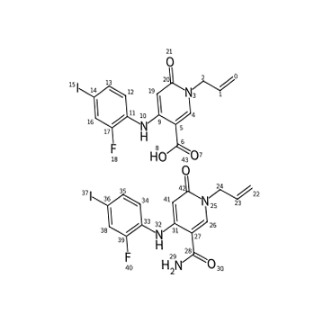 C=CCn1cc(C(=O)O)c(Nc2ccc(I)cc2F)cc1=O.C=CCn1cc(C(N)=O)c(Nc2ccc(I)cc2F)cc1=O